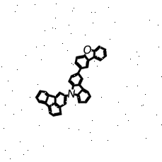 c1ccc2c(c1)-c1cccc3cc(-n4c5ccccc5c5cc(-c6ccc7oc8ccccc8c7c6)ccc54)cc-2c13